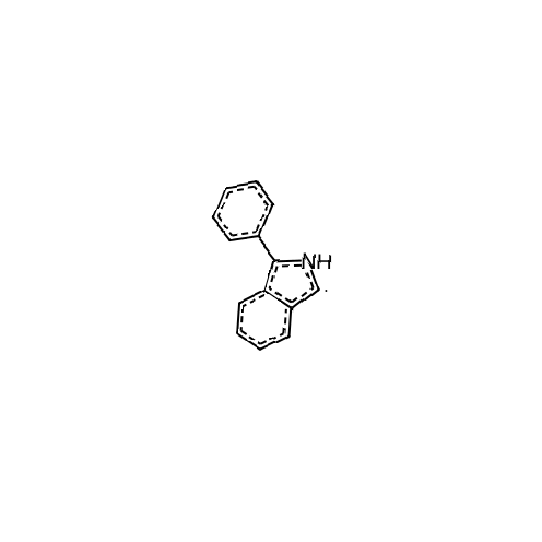 [c]1[nH]c(-c2ccccc2)c2ccccc12